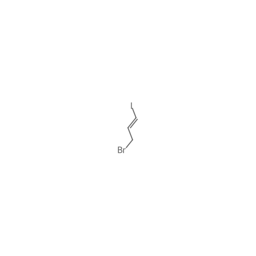 BrCC=CI